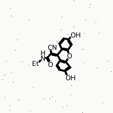 [CH2]CNC(=O)C(C#N)=C1c2ccc(O)cc2Oc2cc(O)ccc21